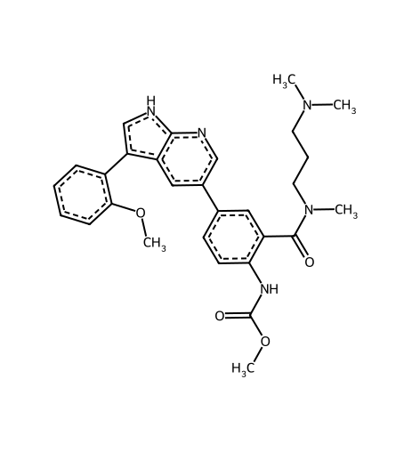 COC(=O)Nc1ccc(-c2cnc3[nH]cc(-c4ccccc4OC)c3c2)cc1C(=O)N(C)CCCN(C)C